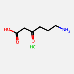 Cl.NCCCC(=O)CC(=O)O